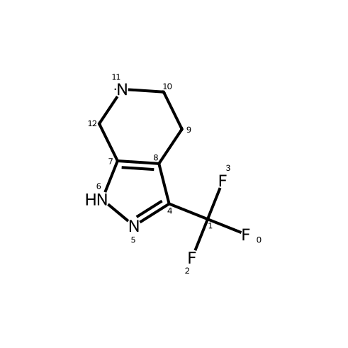 FC(F)(F)c1n[nH]c2c1CC[N]C2